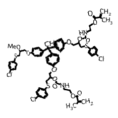 C=C(C)C(=O)OCCNC(=O)OC(COc1ccc(C(C)(c2ccc(OCC(CSc3ccc(Cl)cc3)OC)cc2)c2ccc(OCC(CSc3ccc(Cl)cc3)OC(=O)NCCOC(=O)C(=C)C)cc2)cc1)CSc1ccc(Cl)cc1